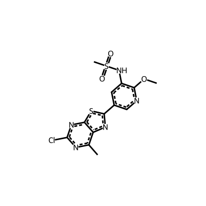 COc1ncc(-c2nc3c(C)nc(Cl)nc3s2)cc1NS(C)(=O)=O